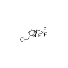 FC(F)(F)Cn1ccc(CCl)n1